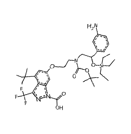 CC[Si](CC)(CC)OC(CN(CCOc1cc(C(C)(C)C)c2c(C(F)(F)F)nn(C(=O)O)c2c1)C(=O)OC(C)(C)C)c1cccc(N)c1